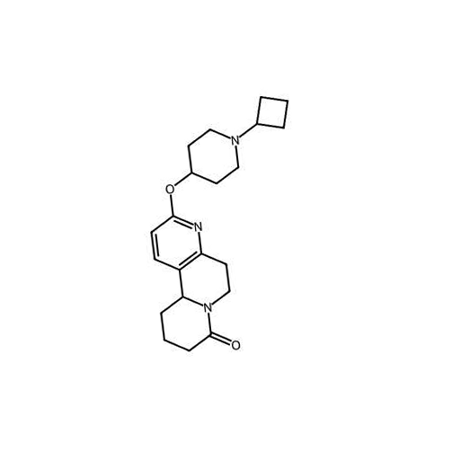 O=C1CCCC2c3ccc(OC4CCN(C5CCC5)CC4)nc3CCN12